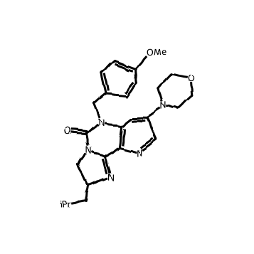 COc1ccc(CN2C(=O)N3CC(CC(C)C)N=C3c3ncc(N4CCOCC4)cc32)cc1